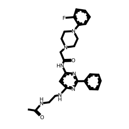 CC(=O)NCCNc1cc(NC(=O)CN2CCN(c3ccccc3F)CC2)nc(-c2ccccc2)n1